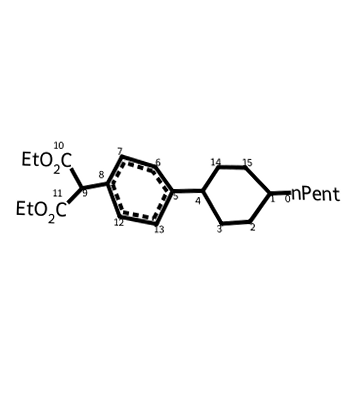 CCCCCC1CCC(c2ccc(C(C(=O)OCC)C(=O)OCC)cc2)CC1